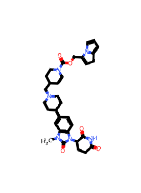 Cn1c(=O)n(C2CCC(=O)NC2=O)c2ccc(C3CCN(CC4CCN(C(=O)OCC5=CCc6cccn65)CC4)CC3)cc21